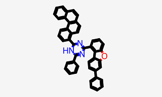 c1ccc(C2=NC(c3cccc4oc5cc(-c6ccccc6)ccc5c34)=NC(c3cccc4c3ccc3ccc5ccccc5c34)N2)cc1